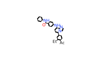 CCc1cc(-c2ccc(Nc3ccc(C(=O)Nc4ccccc4)cc3)c3nccn23)ccc1C(C)=O